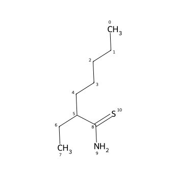 CCCCCC(CC)C(N)=S